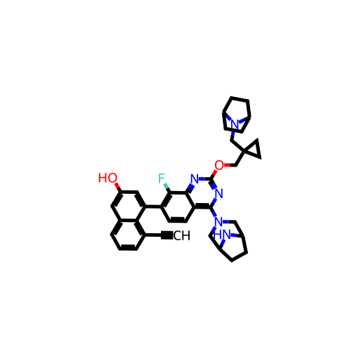 C#Cc1cccc2cc(O)cc(-c3ccc4c(N5CC6CCC(C5)N6)nc(OCC5(CN6C7CCC6CC7)CC5)nc4c3F)c12